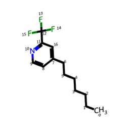 CCCCCCCc1ccnc(C(F)(F)F)c1